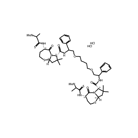 CNC(C)C(=S)N[C@H]1CCS[C@H]2CC(C)(C)[C@@H](C(=O)NC(COCCCCOCC(NC(=O)[C@H]3N4C(=O)[C@@H](NC(=S)C(C)NC)CCS[C@H]4CC3(C)C)c3ccccc3)c3ccccc3)N2C1=O.Cl.Cl